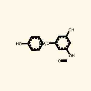 C=O.O=C(O)c1cc(O)cc(O)c1.Oc1ccccc1